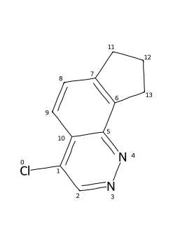 Clc1cnnc2c3c(ccc12)CCC3